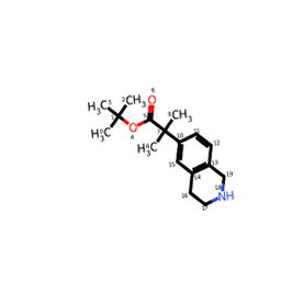 CC(C)(C)OC(=O)C(C)(C)c1ccc2c(c1)CCNC2